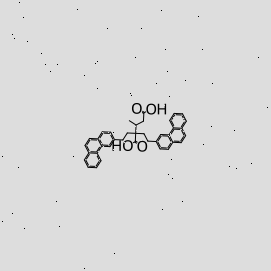 CC(CC(=O)O)C(CCc1ccc2ccc3ccccc3c2c1)(CCc1ccc2ccc3ccccc3c2c1)C(=O)O